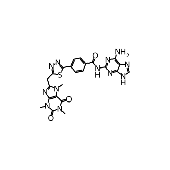 Cn1c(=O)c2c(nc(Cc3nnc(-c4ccc(C(=O)Nc5nc(N)c6nc[nH]c6n5)cc4)s3)n2C)n(C)c1=O